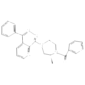 C[C@H]1CN(c2nnc(-c3ccccc3)c3cccnc23)CCN1C(=O)c1ccccc1